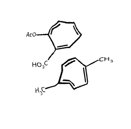 CC(=O)Oc1ccccc1C(=O)O.Cc1ccc(C)cc1